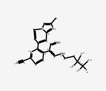 Cc1cn2ccc(-c3nc(C#N)ccc3/C(C=N)=C/NCCC(F)(F)C(F)(F)F)cc2n1